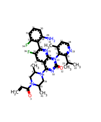 C=CC(=O)N1CC(C)N(c2nc(=O)n(-c3c(C)ccnc3C(C)C)c3nc(-c4c(N)cccc4F)c(F)cc23)CC1C